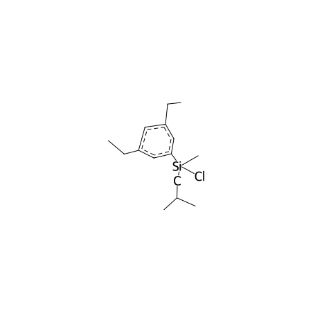 CCc1cc(CC)cc([Si](C)(Cl)CC(C)C)c1